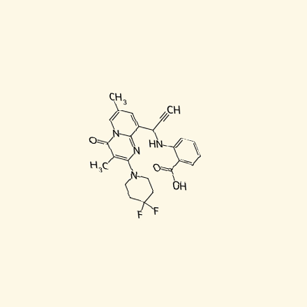 C#CC(Nc1ccccc1C(=O)O)c1cc(C)cn2c(=O)c(C)c(N3CCC(F)(F)CC3)nc12